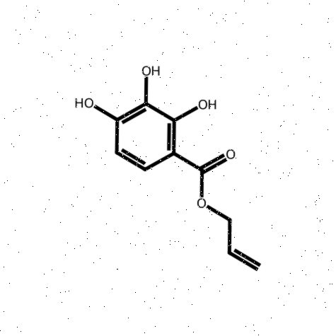 C=CCOC(=O)c1ccc(O)c(O)c1O